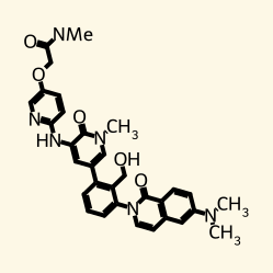 CNC(=O)COc1ccc(Nc2cc(-c3cccc(-n4ccc5cc(N(C)C)ccc5c4=O)c3CO)cn(C)c2=O)nc1